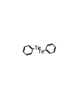 c1ccc([Te][Te]c2ccccc2)cc1